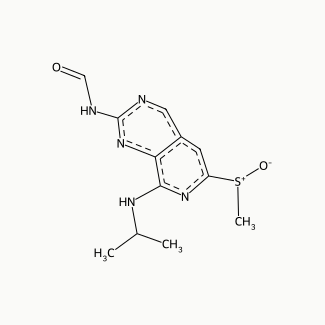 CC(C)Nc1nc([S+](C)[O-])cc2cnc(NC=O)nc12